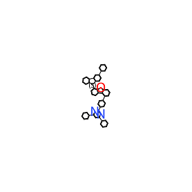 c1ccc(-c2ccc3c(c2)-c2ccccc2[C@@H]3c2cccc3c2oc2cccc(-c4ccc(-c5nc(-c6ccccc6)cc(-c6ccccc6)n5)cc4)c23)cc1